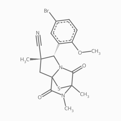 COc1ccc(Br)cc1[C@@H]1N2C(=O)C3(C)SC2(C[C@]1(C)C#N)C(=O)N3C